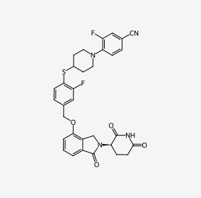 N#Cc1ccc(N2CCC(Sc3ccc(COc4cccc5c4CN([C@@H]4CCC(=O)NC4=O)C5=O)cc3F)CC2)c(F)c1